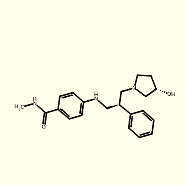 CNC(=O)c1ccc(NC[C@@H](CN2CC[C@H](O)C2)c2ccccc2)cc1